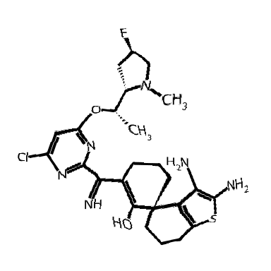 C[C@H](Oc1cc(Cl)nc(C(=N)C2=C(O)[C@@]3(CCC2)CCCc2sc(N)c(N)c23)n1)[C@@H]1C[C@@H](F)CN1C